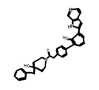 O=C(Cc1ccc(-c2cccc(-c3cc4ccncc4[nH]3)c2O)cc1)N1CCC(O)(Cc2ccccc2)CC1